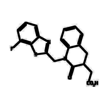 O=C(O)CC1Cc2ccccc2N(Cc2nc3cccc(F)c3s2)C1=O